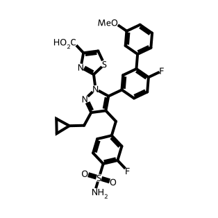 COc1cccc(-c2cc(-c3c(Cc4ccc(S(N)(=O)=O)c(F)c4)c(CC4CC4)nn3-c3nc(C(=O)O)cs3)ccc2F)c1